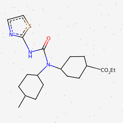 CCOC(=O)C1CCC(N(C(=O)Nc2nccs2)C2CCC(C)CC2)CC1